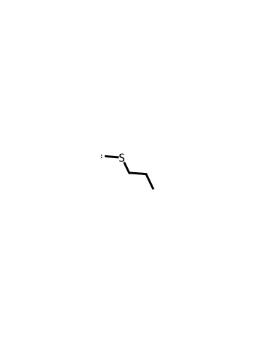 [CH]SCCC